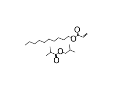 C=CC(=O)OCCCCCCCCCC.CC(C)COC(=O)C(C)C